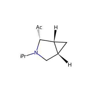 CC(=O)[C@@H]1[C@@H]2C[C@@H]2CN1C(C)C